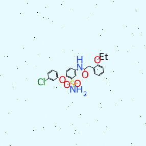 CCOc1ccccc1CC(=O)Nc1ccc(Oc2cccc(Cl)c2)c(S(N)(=O)=O)c1